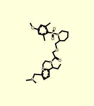 CCC1c2ccc(CN(C)C)n2CCN1C(=O)COCC1CCCCN1S(=O)(=O)c1c(C)cc(OC)cc1C